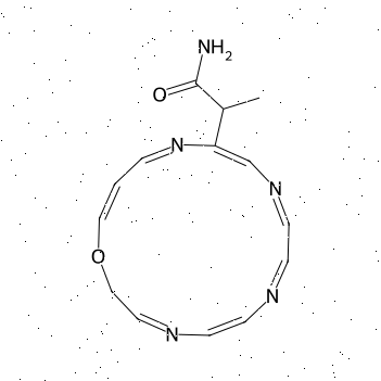 CC(C(N)=O)C1=CN=CC=NC=CN=CCOC=CC=N1